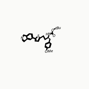 COc1ccc(C[C@@H](CCc2ccc(-c3ccc4cnccc4c3)s2)NC(=O)OC(C)(C)C)cc1